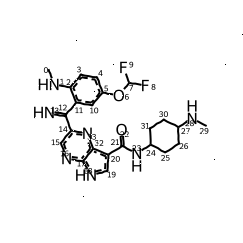 CNc1ccc(OC(F)F)cc1C(=N)c1cnc2[nH]cc(C(=O)NC3CCC(NC)CC3)c2n1